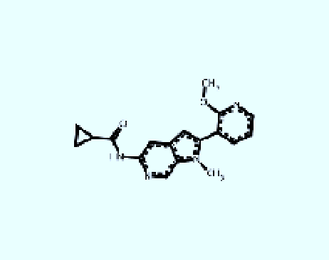 COc1ncccc1-c1cc2cc(NC(=O)C3CC3)ncc2n1C